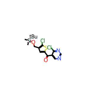 CC(C)(C)[Si](C)(C)OCc1cc(C(=O)c2cncnc2Cl)sc1Cl